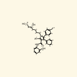 CC(C)c1c(C(=O)Nc2ccccc2O)c(-c2ccccc2)c(-c2ccc(F)cc2)n1CCCC[C@@H](O)CC(=O)O